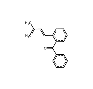 C=C(C)C=Cc1ccccc1C(=O)c1ccccc1